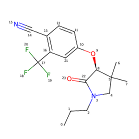 CCCN1CC(C)(C)[C@H](Oc2ccc(C#N)c(C(F)(F)F)c2)C1=O